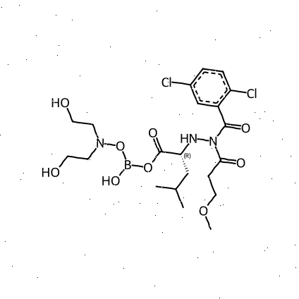 COCCC(=O)N(N[C@H](CC(C)C)C(=O)OB(O)ON(CCO)CCO)C(=O)c1cc(Cl)ccc1Cl